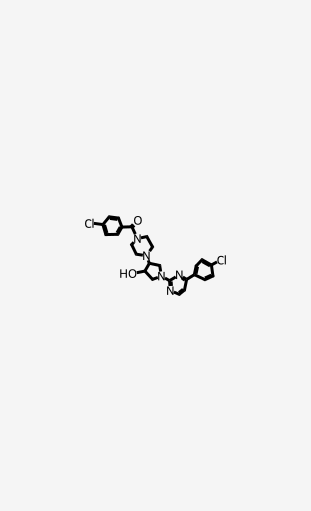 O=C(c1ccc(Cl)cc1)N1CCN(C2CN(c3nccc(-c4ccc(Cl)cc4)n3)CC2O)CC1